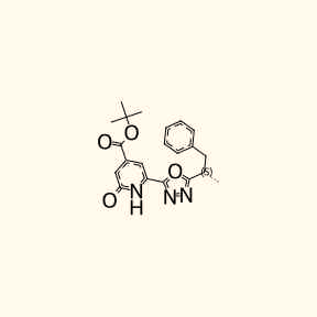 C[C@@H](Cc1ccccc1)c1nnc(-c2cc(C(=O)OC(C)(C)C)cc(=O)[nH]2)o1